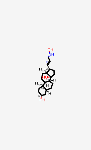 C[C@]12CC[C@H](O)C[C@H]1CC[C@@H]1[C@@H]2CC[C@]2(C)[C@@H](/C=C/CNO)CC[C@]12O